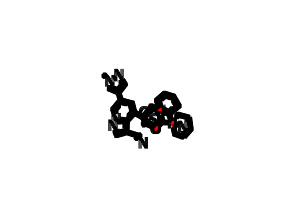 Cn1cc(-c2cc(-c3ccc(N4CC5CC(C4)N5Cc4ccccc4S(C)(=O)=O)nc3)c3c(C#N)cnn3c2)cn1